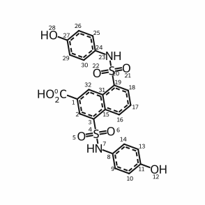 O=C(O)c1cc(S(=O)(=O)Nc2ccc(O)cc2)c2cccc(S(=O)(=O)Nc3ccc(O)cc3)c2c1